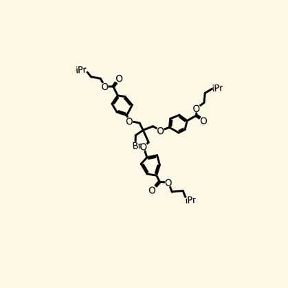 CC(C)CCOC(=O)c1ccc(OCC(CBr)(COc2ccc(C(=O)OCCC(C)C)cc2)COc2ccc(C(=O)OCCC(C)C)cc2)cc1